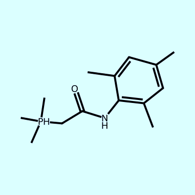 Cc1cc(C)c(NC(=O)C[PH](C)(C)C)c(C)c1